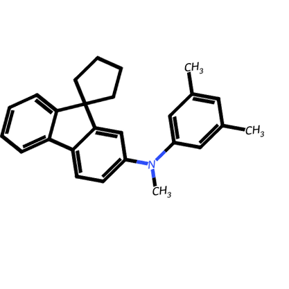 Cc1cc(C)cc(N(C)c2ccc3c(c2)C2(CCCC2)c2ccccc2-3)c1